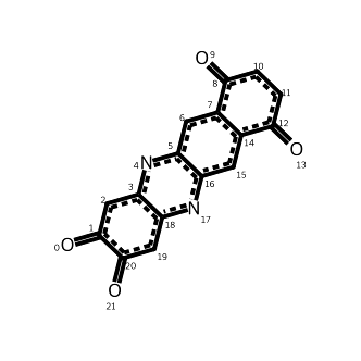 O=c1cc2nc3cc4c(=O)ccc(=O)c4cc3nc2cc1=O